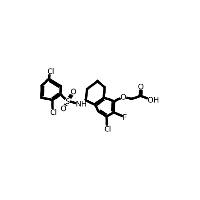 O=C(O)COc1c(F)c(Cl)cc2c1CCCC2NS(=O)(=O)c1cc(Cl)ccc1Cl